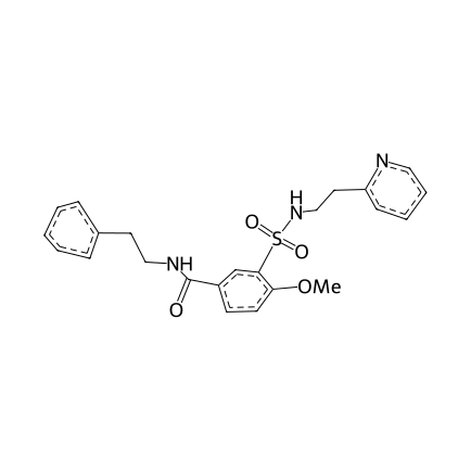 COc1ccc(C(=O)NCCc2ccccc2)cc1S(=O)(=O)NCCc1ccccn1